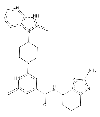 Nc1nc2c(s1)C(NC(=O)c1cc(N3CCC(n4c(=O)[nH]c5ncccc54)CC3)[nH]c(=O)c1)CCC2